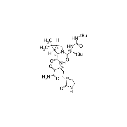 CC(C)(C)NC(=O)N[C@H](C(=O)N1C[C@H]2[C@@H]([C@H]1C(=O)N[C@@H](CC[C@@H]1CCNC1=O)C(=O)C(N)=O)C2(C)C)C(C)(C)C